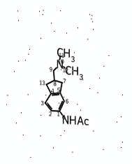 CC(=O)Nc1ccc2c(c1)CC(CN(C)C)C2